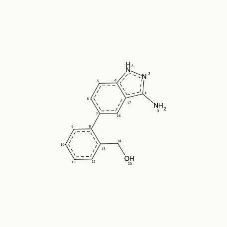 Nc1n[nH]c2ccc(-c3ccccc3CO)cc12